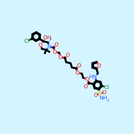 C[C@@H]1N(C(=O)OCOC(=O)CCCC(=O)OCCOC(=O)c2cc(S(N)(=O)=O)c(Cl)cc2NCc2ccco2)C(C)(C)CO[C@@]1(O)c1cccc(Cl)c1